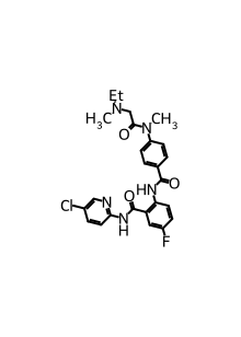 CCN(C)CC(=O)N(C)c1ccc(C(=O)Nc2ccc(F)cc2C(=O)Nc2ccc(Cl)cn2)cc1